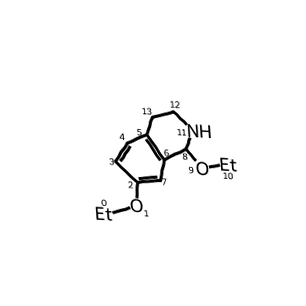 CCOc1ccc2c(c1)C(OCC)NCC2